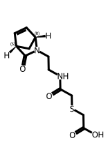 O=C(O)CSCC(=O)NCCN1C(=O)[C@@H]2C=C[C@H]1C2